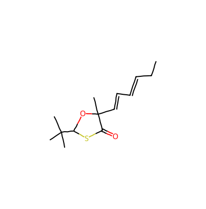 CC/C=C/C=C/C1(C)OC(C(C)(C)C)SC1=O